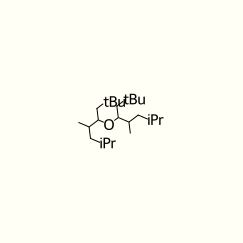 CC(C)CC(C)C(CC(C)(C)C)OC(CC(C)(C)C)C(C)CC(C)C